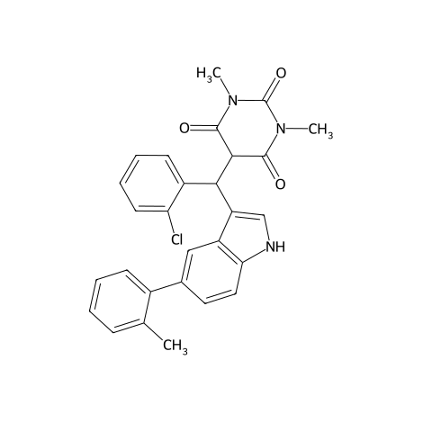 Cc1ccccc1-c1ccc2[nH]cc(C(c3ccccc3Cl)C3C(=O)N(C)C(=O)N(C)C3=O)c2c1